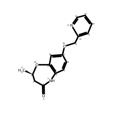 C[C@@H]1CC(=O)Nc2ccc(OCc3ccccn3)cc2O1